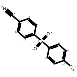 N#Cc1ccc(S(=O)(=O)c2ccc(S)cc2)cc1